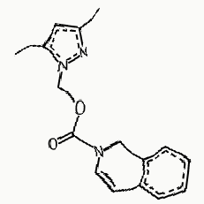 Cc1cc(C)n(COC(=O)N2C=Cc3ccccc3C2)n1